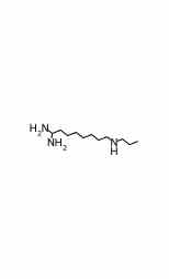 CCCNCCCCCCCC(N)N